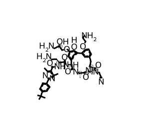 Cc1nc(-c2ccc(C(C)(C)C)cc2)nc(C)c1C(=O)N[C@@H](CCN)C(=O)N(C)[C@@H]1C(=O)N[C@@H](C)C(=O)N[C@H](C(=O)NCC#N)Cc2ccc(OCCN)c(c2)-c2cc1cc(OC[C@H](O)CN)c2O